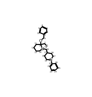 FCC1(OCc2ccccc2)CCCCN1CC1CCN(c2ccccc2)CC1